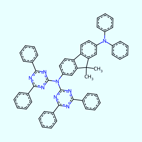 CC1(C)c2cc(N(c3ccccc3)c3ccccc3)ccc2-c2ccc(N(c3nc(-c4ccccc4)nc(-c4ccccc4)n3)c3nc(-c4ccccc4)nc(-c4ccccc4)n3)cc21